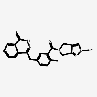 CC(C)n1cc2c(n1)CN(C(=O)c1cc(Cc3n[nH]c(=O)c4ccccc34)ccc1F)C2